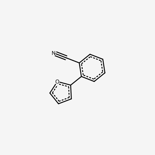 N#Cc1ccccc1-c1ccco1